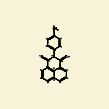 Nc1ccc(N2C(=O)c3cccc4cccc(c34)C2=O)cc1